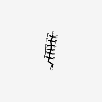 O=CCC(F)(F)C(F)(F)C(F)(F)C(F)(F)C(F)(F)C(F)(F)F